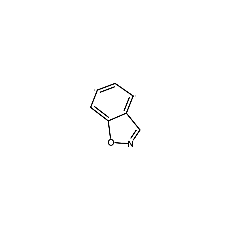 [c]1c[c]c2cnoc2c1